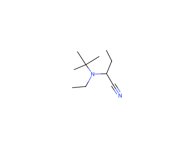 CCC(C#N)N(CC)C(C)(C)C